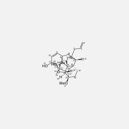 C=CCN1CC[C@]23c4c5ccc(O)c4O[C@H]2[C@@]2(OC)CC[C@@]3(C[C@@H]2[C@](C)(O)C(C)(C)C)[C@H]1C5